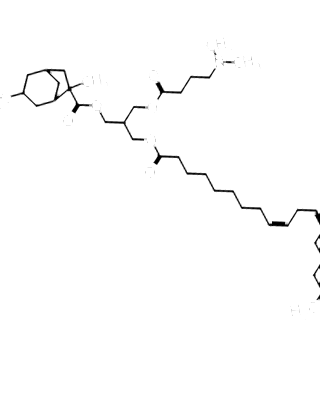 CCCCC/C=C\C/C=C\CCCCCCCC(=O)OCC(COC(=O)CCCN(C)C)COC(=O)C1(C)CC2CC(C)CC1C2